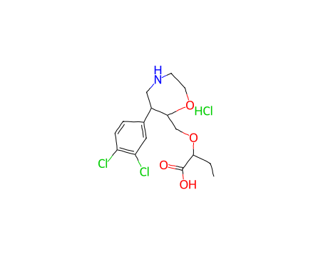 CCC(OCC1OCCNCC1c1ccc(Cl)c(Cl)c1)C(=O)O.Cl